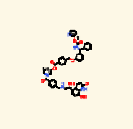 CCN(CCOC(=O)c1ccc(COc2cccc([C@@H](NC(=O)O[C@H]3CN4CCC3CC4)c3ccccc3)c2)cc1)C(=O)c1ccc(CNC[C@H](O)c2ccc(O)c3[nH]c(=O)ccc23)cc1